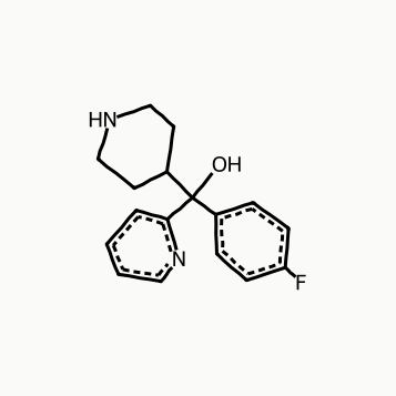 OC(c1ccc(F)cc1)(c1ccccn1)C1CCNCC1